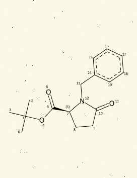 CC(C)(C)OC(=O)[C@@H]1CCC(=O)N1Cc1ccccc1